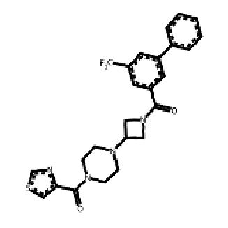 O=C(c1cc(-c2ccccc2)cc(C(F)(F)F)c1)N1CC(N2CCN(C(=O)c3cscn3)CC2)C1